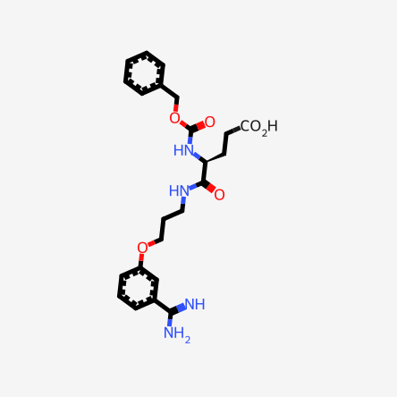 N=C(N)c1cccc(OCCCNC(=O)[C@H](CCC(=O)O)NC(=O)OCc2ccccc2)c1